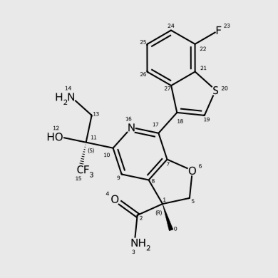 C[C@]1(C(N)=O)COc2c1cc([C@@](O)(CN)C(F)(F)F)nc2-c1csc2c(F)cccc12